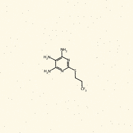 Nc1nc(SCCC(F)(F)F)nc(N)c1N